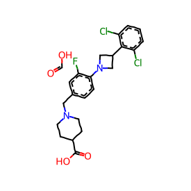 O=C(O)C1CCN(Cc2ccc(N3CC(c4c(Cl)cccc4Cl)C3)c(F)c2)CC1.O=CO